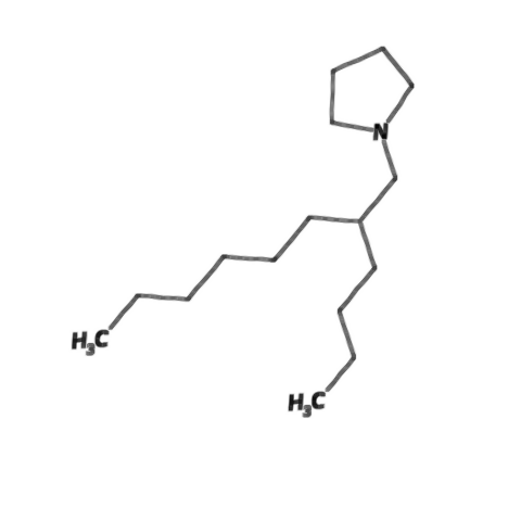 CCCCCCC(CCCC)CN1CCCC1